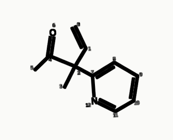 C=CC(C)(C(C)=O)c1ccccn1